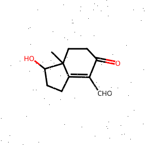 CC12CCC(=O)C(C=O)=C1CCC2O